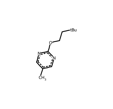 Cc1cnc(OCCC(C)(C)C)nc1